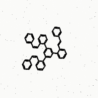 C(=Cc1ccccc1-c1cc(-c2ccccc2C=Cc2ccccc2)cc(-c2ccccc2C=Cc2ccccc2)c1)c1ccccc1